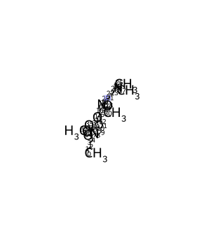 CC=CC=CC(=O)N1CCc2ccc(OCCc3nc(/C=C/CCCN(C)C)oc3C)cc2C1C(=O)OC